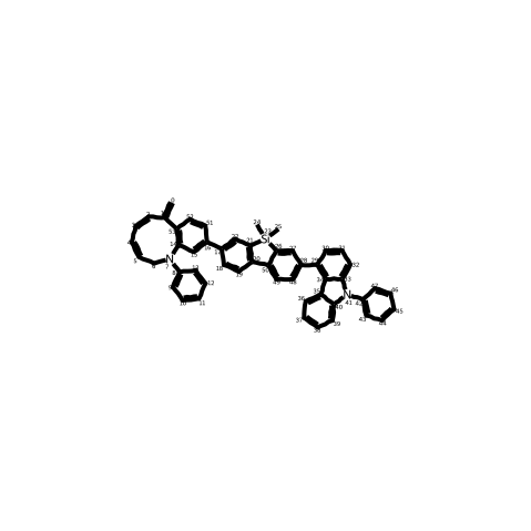 C=C1/C=C\C=C/CN(c2ccccc2)c2cc(-c3ccc4c(c3)[Si](C)(C)c3cc(-c5cccc6c5c5ccccc5n6-c5ccccc5)ccc3-4)ccc21